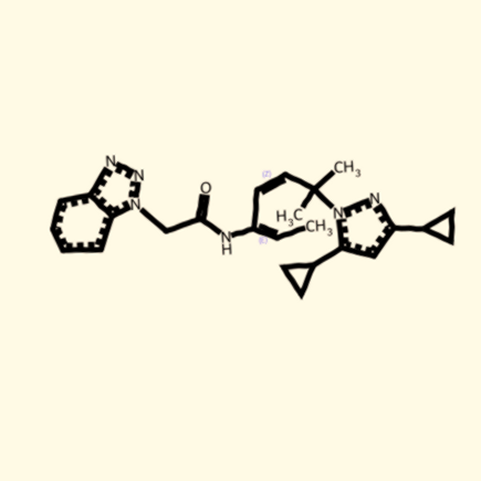 C/C=C(\C=C/C(C)(C)n1nc(C2CC2)cc1C1CC1)NC(=O)Cn1nnc2ccccc21